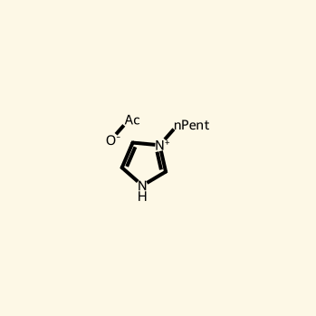 CC(=O)[O-].CCCCC[n+]1cc[nH]c1